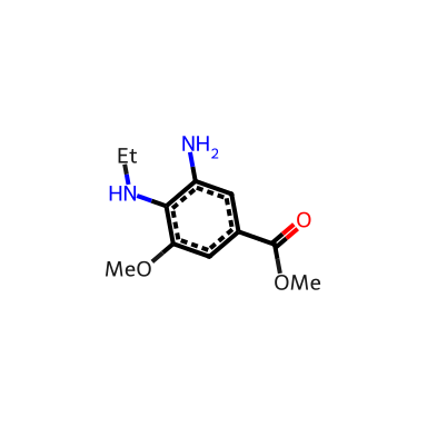 CCNc1c(N)cc(C(=O)OC)cc1OC